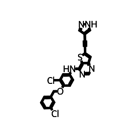 Clc1cccc(COc2ccc(Nc3ncnc4cc(C#Cc5cn[nH]c5)sc34)cc2Cl)c1